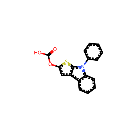 O=C(O)Oc1cc2c3ccccc3n(-c3ccccc3)c2s1